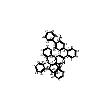 c1ccc(-c2nc(-c3ccccc3-c3ccc4c(c3)oc3ccccc34)cc(-c3ccccc3-n3c4ccccc4c4ccccc43)n2)cc1